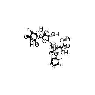 CC(C)OC(=O)[C@@H](C)N[P@](=O)(OC[C@H]1O[C@@H](n2cc(I)c(=O)[nH]c2=O)[C@](C)(F)[C@@H]1O)Oc1ccccc1